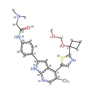 COCOC1(c2ncc(-c3c(Cl)cnc4[nH]c(-c5ccc(NC(=O)CN(C)C)cc5)cc34)s2)CCC1